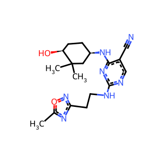 Cc1nc(CCNc2ncc(C#N)c(N[C@@H]3CC[C@H](O)C(C)(C)C3)n2)no1